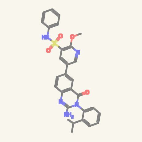 COc1ncc(-c2ccc3nc(N)n(-c4ccccc4C(C)C)c(=O)c3c2)cc1S(=O)(=O)Nc1ccccc1